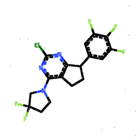 Fc1cc(C2CCc3c2nc(Cl)nc3N2CCC(F)(F)C2)cc(F)c1F